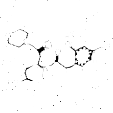 NC(=O)C[C@H](NC(=O)Cc1ccc(O)cc1O)C(=O)N1CCNCC1